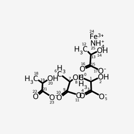 CC(O)C(=O)[O-].CC(O)C(=O)[O-].CC(O)C(=O)[O-].CC(O)C(=O)[O-].[Fe+3].[NH4+]